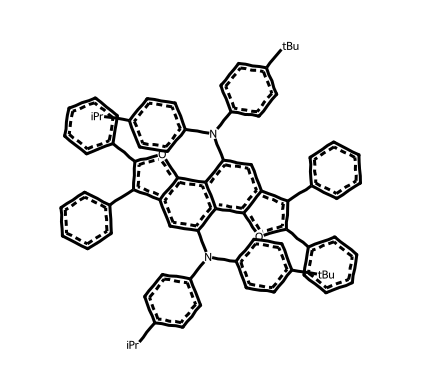 CC(C)c1ccc(N(c2ccc(C(C)(C)C)cc2)c2cc3c(-c4ccccc4)c(-c4ccccc4)oc3c3c(N(c4ccc(C(C)C)cc4)c4ccc(C(C)(C)C)cc4)cc4c(-c5ccccc5)c(-c5ccccc5)oc4c23)cc1